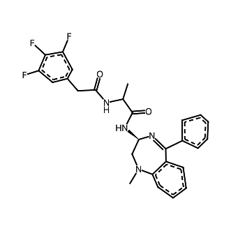 CC(NC(=O)Cc1cc(F)c(F)c(F)c1)C(=O)N[C@@H]1CN(C)c2ccccc2C(c2ccccc2)=N1